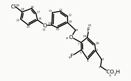 O=C(O)CCc1cc(F)c(OCc2cccc(Oc3ccc(Cl)cc3)c2)c(F)c1